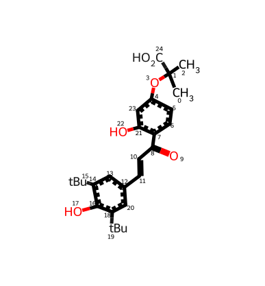 CC(C)(Oc1ccc(C(=O)/C=C/c2cc(C(C)(C)C)c(O)c(C(C)(C)C)c2)c(O)c1)C(=O)O